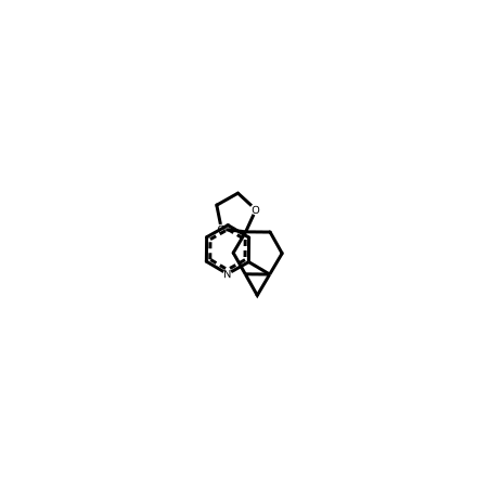 c1ccc(C23CCC4(CC2C3)OCCO4)nc1